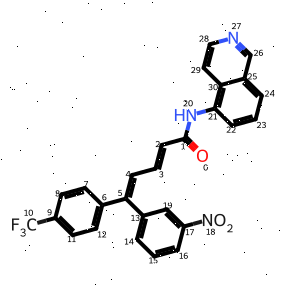 O=C(C=CC=C(c1ccc(C(F)(F)F)cc1)c1cccc([N+](=O)[O-])c1)Nc1cccc2cnccc12